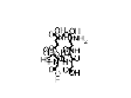 N[C@H](CCC(=O)N[C@H](CS)C(=O)NCC(=O)O)C(=O)O.N[C@H](CCC(=O)N[C@H](CS)C(=O)NCC(=O)O)C(=O)O.OO